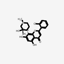 B[C@@]1(O)CN(C)CC[C@@H]1c1c(O)cc(O)c2c(=O)cc(-c3ccccc3Cl)oc12